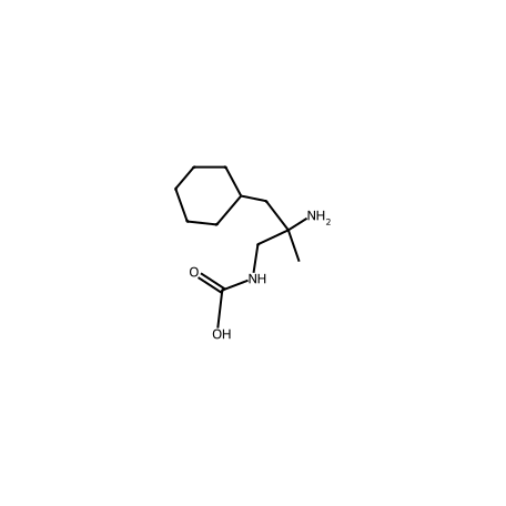 CC(N)(CNC(=O)O)CC1CCCCC1